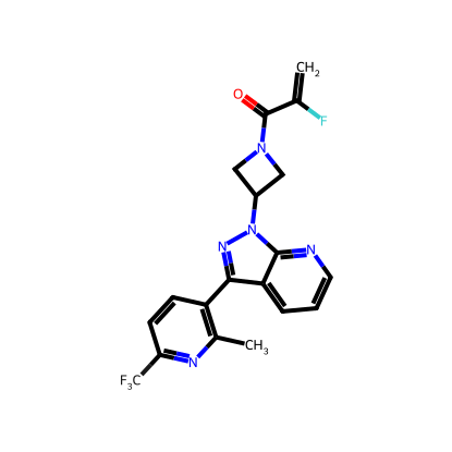 C=C(F)C(=O)N1CC(n2nc(-c3ccc(C(F)(F)F)nc3C)c3cccnc32)C1